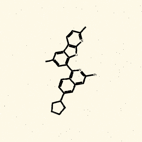 Cc1cc(-c2nc(C(C)C)cc3cc(C4CCCC4)ccc23)c2oc3nc(C)ccc3c2c1